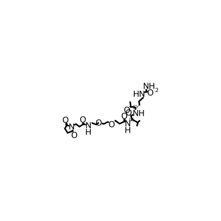 CC(=O)[C@H](CCCNC(N)=O)NC(=O)[C@@H](NC(=O)CCOCCOCCNC(=O)CCN1C(=O)CCC1=O)C(C)C